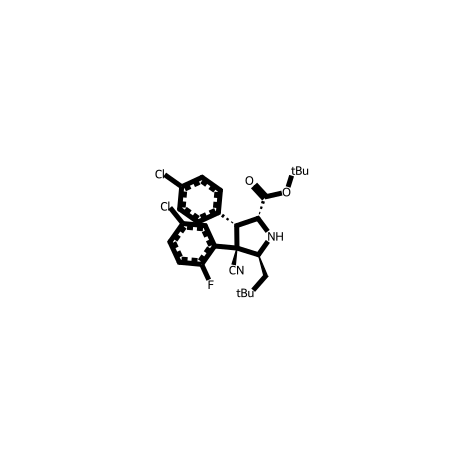 CC(C)(C)C[C@@H]1N[C@@H](C(=O)OC(C)(C)C)[C@@H](c2ccc(Cl)cc2)[C@@]1(C#N)c1cc(Cl)ccc1F